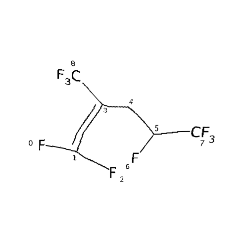 FC(F)=C(CC(F)C(F)(F)F)C(F)(F)F